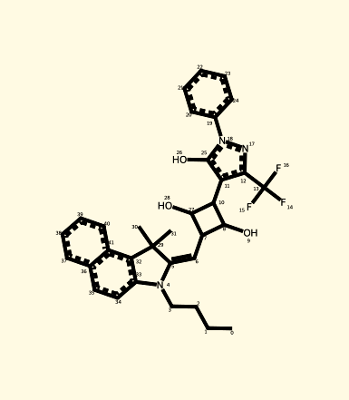 CCCCN1C(=CC2C(O)C(c3c(C(F)(F)F)nn(-c4ccccc4)c3O)C2O)C(C)(C)c2c1ccc1ccccc21